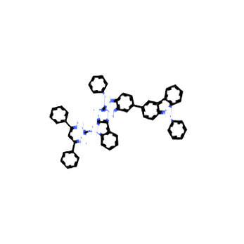 c1ccc(-c2cc(-c3ccccc3)nc(-n3c4ccccc4c4c3nc3n(-c5ccccc5)c5ccc(-c6ccc7c(c6)c6ccccc6n7-c6ccccc6)cc5n43)n2)cc1